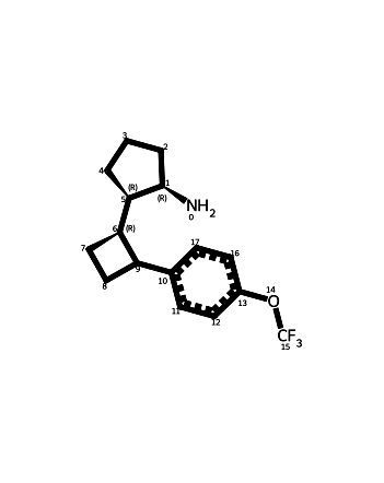 N[C@@H]1CCC[C@@H]1[C@@H]1CC[C]1c1ccc(OC(F)(F)F)cc1